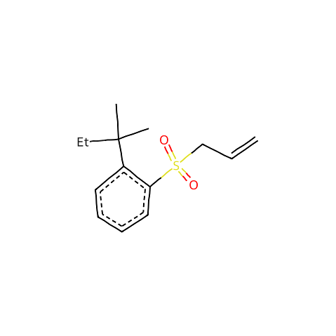 C=CCS(=O)(=O)c1ccccc1C(C)(C)CC